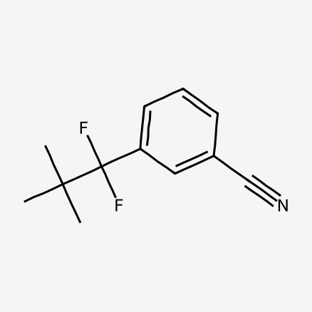 CC(C)(C)C(F)(F)c1cccc(C#N)c1